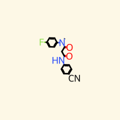 CN(C(=O)CC(=O)Nc1ccc(C#N)cc1)c1ccc(F)cc1